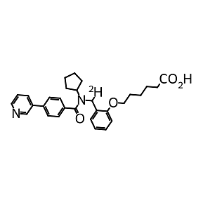 [2H]C(c1ccccc1OCCCCCC(=O)O)N(C(=O)c1ccc(-c2cccnc2)cc1)C1CCCC1